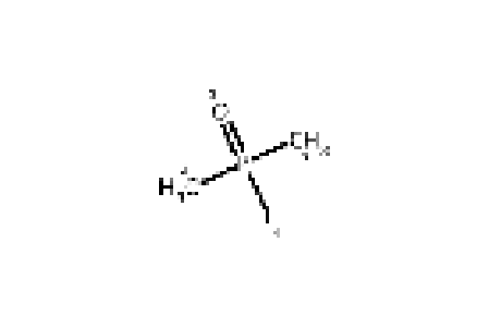 CP(C)(=O)I